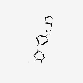 Nc1cc(Sc2ccc(S(=O)(=O)Nc3nccs3)cc2)ccc1[N+](=O)[O-]